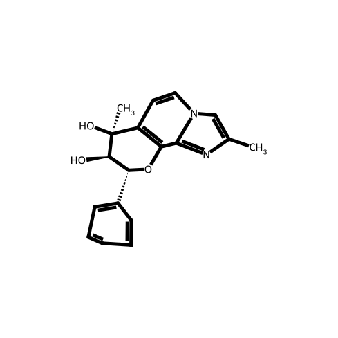 Cc1cn2ccc3c(c2n1)O[C@H](c1ccccc1)[C@@H](O)[C@@]3(C)O